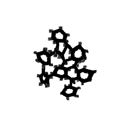 c1ccc(N2c3ccccc3B3c4nccc5c4N(c4cc(-c6ncc[nH]6)cc2c43)C2C5c3ccccc3N2c2ccccc2)cc1